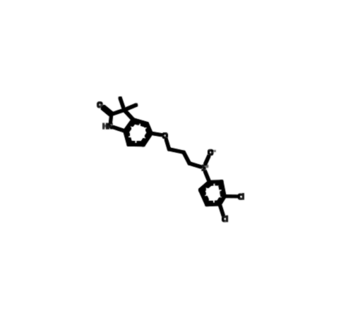 CC1(C)C(=O)Nc2ccc(OCCC[S+]([O-])c3ccc(Cl)c(Cl)c3)cc21